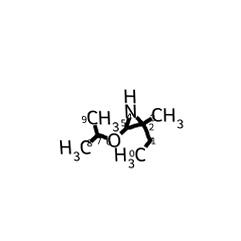 CCC1(C)NC1OC(C)C